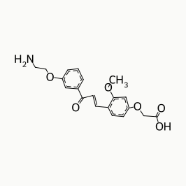 COc1cc(OCC(=O)O)ccc1C=CC(=O)c1cccc(OCCN)c1